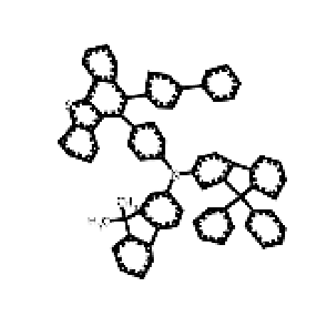 CC1(C)c2ccccc2-c2ccc(N(c3ccc(-c4c(-c5ccc(-c6ccccc6)cc5)c5ccccc5c5sc6ccccc6c45)cc3)c3ccc4c(c3)C(c3ccccc3)(c3ccccc3)c3ccccc3-4)cc21